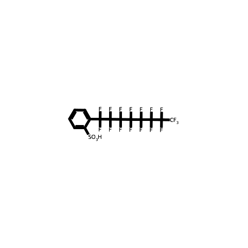 O=S(=O)(O)c1ccccc1C(F)(F)C(F)(F)C(F)(F)C(F)(F)C(F)(F)C(F)(F)C(F)(F)C(F)(F)F